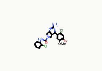 COc1cc(-c2nc(N)nc3c2CN(C(=O)Nc2ccccc2Cl)C3)c(Cl)cc1Br